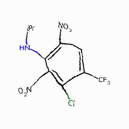 CC(C)Nc1c([N+](=O)[O-])cc(C(F)(F)F)c(Cl)c1[N+](=O)[O-]